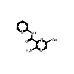 CCCCc1cnc(N)c(C(=O)Nc2ccccn2)n1